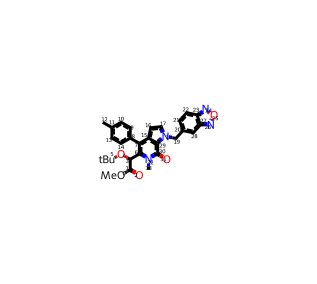 COC(=O)C(OC(C)(C)C)c1c(-c2ccc(C)cc2)c2ccn(Cc3ccc4nonc4c3)c2c(=O)n1C